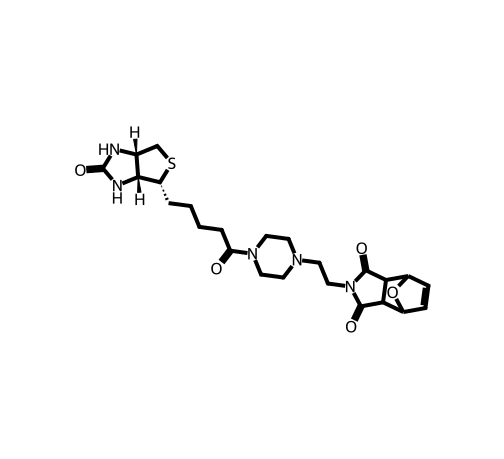 O=C1N[C@@H]2[C@@H](CS[C@@H]2CCCCC(=O)N2CCN(CCN3C(=O)C4C5C=CC(O5)C4C3=O)CC2)N1